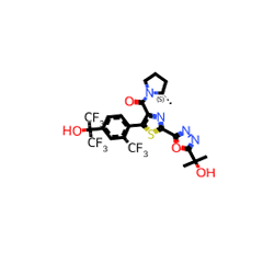 C[C@H]1CCCN1C(=O)c1nc(-c2nnc(C(C)(C)O)o2)sc1-c1ccc(C(O)(C(F)(F)F)C(F)(F)F)cc1C(F)(F)F